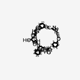 COC(=O)[C@@H]1Cc2ccc(cc2)OCCn2cc(nn2)COc2ccccc2C(=O)N[C@H](CC(C)C)C(=O)N2C[C@@H](O)C[C@@H]2C(=O)N[C@@H](Cc2ccccc2)C(=O)N1